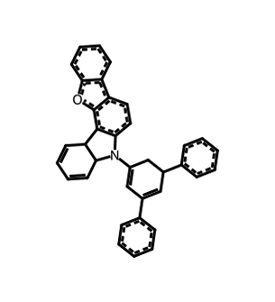 C1=CC2c3c(ccc4c3oc3ccccc34)N(C3=CC(c4ccccc4)=CC(c4ccccc4)C3)C2C=C1